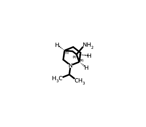 CC(C)N1C[C@H]2CC[C@@H]1[C@H](N)C2